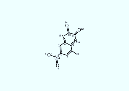 Cc1cc([N+](=O)[O-])cc2c1=NC(=O)C(=O)N=2